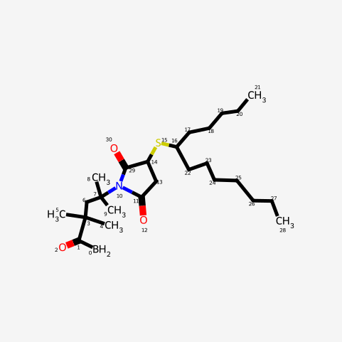 BC(=O)C(C)(C)CC(C)(C)N1C(=O)CC(SC(CCCCC)CCCCCCC)C1=O